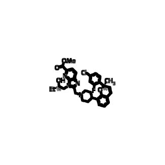 CC[C@H](O)Cn1c(CN2CCC(c3cccc4c3O[C@@](C)(c3ccc(Cl)cc3F)C=C4)CC2)nc2ccc(C(=O)OC)nc21